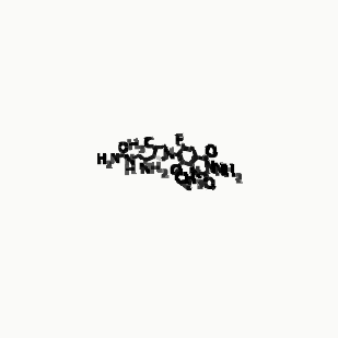 COc1c(N2C[C@H]([C@@H](N)CNC(N)=O)[C@@H](C)C2)c(F)cc2c(=O)n(N)c(=O)n(C3CC3)c12